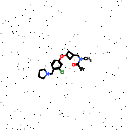 CC(C)C(=O)N(C)CC1CC(Oc2ccc(CN3CCCC3)c(Cl)c2)C1